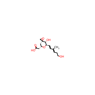 CC(/C=C/[C@H]1O[C@H](CC(=O)O)C[C@@]2(CO2)[C@@H]1O)=C\CCO